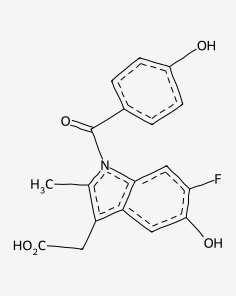 Cc1c(CC(=O)O)c2cc(O)c(F)cc2n1C(=O)c1ccc(O)cc1